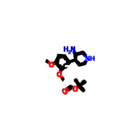 CC(C)(C)OC=O.COc1ccc(C2CCNCC2N)cc1OC